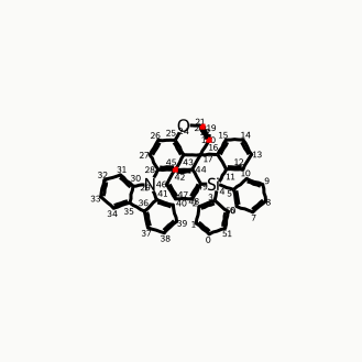 c1ccc([Si]2(c3ccccc3)c3ccccc3C3(c4ccccc4Oc4ccc(-n5c6ccccc6c6ccccc65)cc43)c3ccccc32)cc1